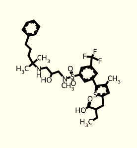 CCC(Cc1cc(C)c(-c2cc(C(F)(F)F)cc(S(=O)(=O)N(C)CC(O)CNC(C)(C)CCCc3ccccc3)c2)s1)C(=O)O